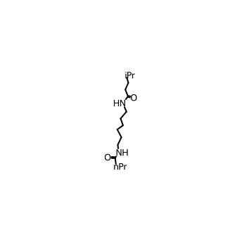 CCCC(=O)NCCCCCCNC(=O)CCC(C)C